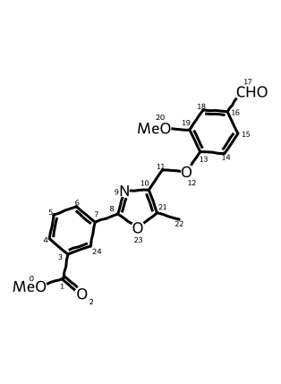 COC(=O)c1cccc(-c2nc(COc3ccc(C=O)cc3OC)c(C)o2)c1